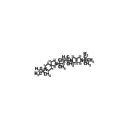 CC(C)(C)N1CCC2(CC1)CCN(C(C)(C)CCC(C)(C)N1CC3CN(C(C)(C)C)CC3C1)C2